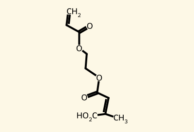 C=CC(=O)OCCOC(=O)/C=C(/C)C(=O)O